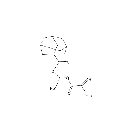 C=C(C)C(=O)OC(C)OC(=O)C12CC3CC(CC(C3)C1)C2